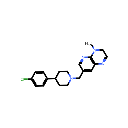 CN1CC=Nc2cc(CN3CCC(c4ccc(Cl)cc4)CC3)cnc21